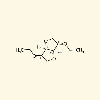 CCO[C@@H]1CO[C@H]2[C@@H]1OC[C@H]2OCC